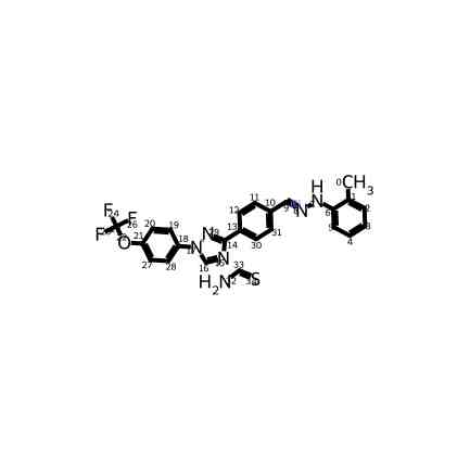 Cc1ccccc1N/N=C/c1ccc(-c2ncn(-c3ccc(OC(F)(F)F)cc3)n2)cc1.NC=S